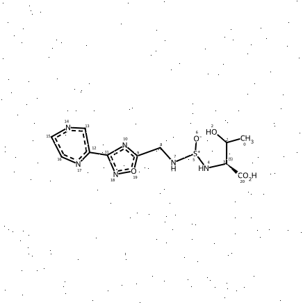 CC(O)[C@H](N[S+]([O-])NCc1nc(-c2cnccn2)no1)C(=O)O